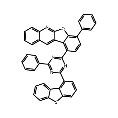 c1ccc(-c2nc(-c3cccc4sc5ccccc5c34)nc(-c3ccc(-c4ccccc4)c4oc5nc6ccccc6cc5c34)n2)cc1